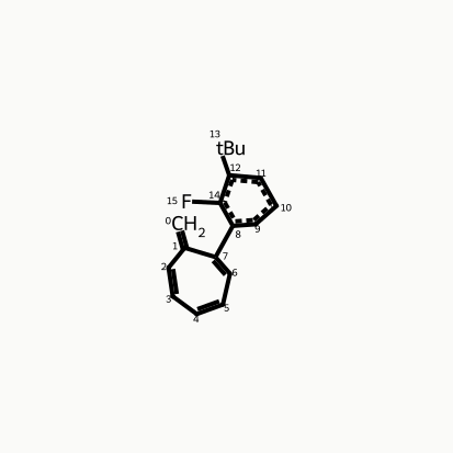 C=C1C=CC=CC=C1c1cccc(C(C)(C)C)c1F